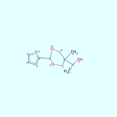 CC(O)C1(C)COC(c2cccs2)OC1